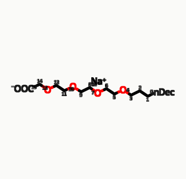 CCCCCCCCCCCCCOCCOCCOCCOCC(=O)[O-].[Na+]